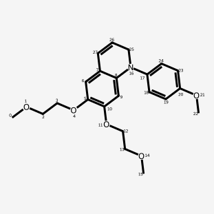 COCCOc1cc2c(cc1OCCOC)N(c1ccc(OC)cc1)CC=C2